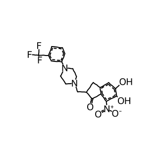 O=C1c2c(cc(O)c(O)c2[N+](=O)[O-])CC1CN1CCN(c2cccc(C(F)(F)F)c2)CC1